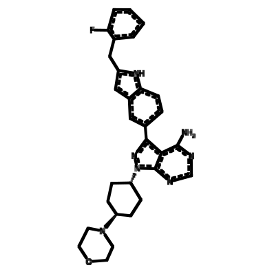 Nc1ncnc2c1c(-c1ccc3[nH]c(Cc4ccccc4F)cc3c1)nn2[C@H]1CC[C@H](N2CCOCC2)CC1